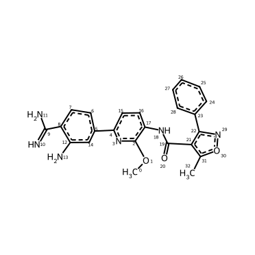 COc1nc(-c2ccc(C(=N)N)c(N)c2)ccc1NC(=O)c1c(-c2ccccc2)noc1C